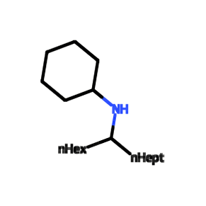 CCCCCCCC(CCCCCC)NC1CCCCC1